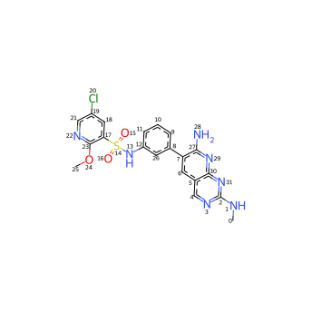 CNc1ncc2cc(-c3cccc(NS(=O)(=O)c4cc(Cl)cnc4OC)c3)c(N)nc2n1